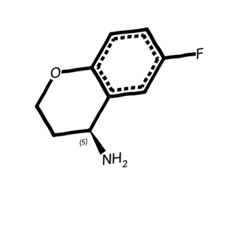 N[C@H]1CCOc2ccc(F)cc21